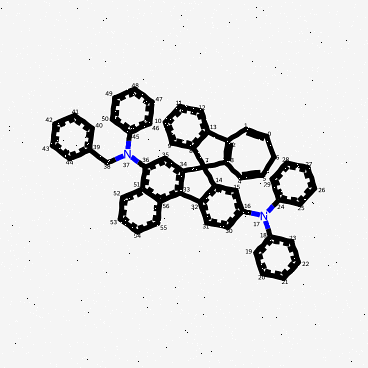 C1=CC2=C(C=CC1)C1(c3ccccc32)c2cc(N(c3ccccc3)c3ccccc3)ccc2-c2c1cc(N(Cc1ccccc1)c1ccccc1)c1ccccc21